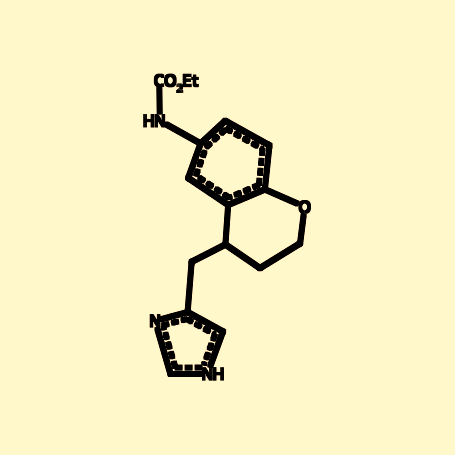 CCOC(=O)Nc1ccc2c(c1)C(Cc1c[nH]cn1)CCO2